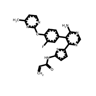 C=CC(=O)Nc1ccc(-c2ncnc(N)c2-c2ccc(Oc3nccc(C)n3)c(F)c2)s1